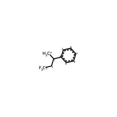 [CH2]C(CC(F)(F)F)c1ccccc1